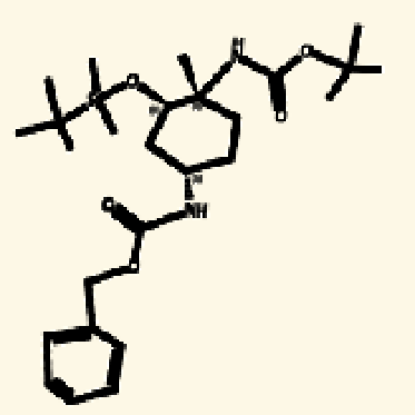 CC(C)(C)OC(=O)N[C@]1(C)CC[C@H](NC(=O)OCc2ccccc2)C[C@H]1O[Si](C)(C)C(C)(C)C